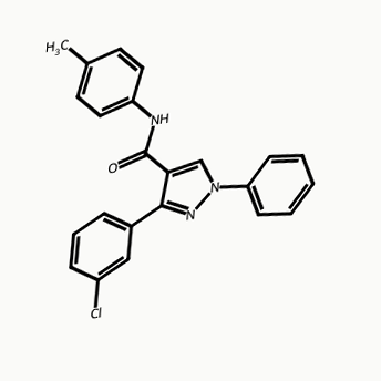 Cc1ccc(NC(=O)c2cn(-c3ccccc3)nc2-c2cccc(Cl)c2)cc1